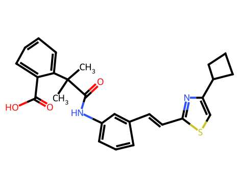 CC(C)(C(=O)Nc1cccc(C=Cc2nc(C3CCC3)cs2)c1)c1ccccc1C(=O)O